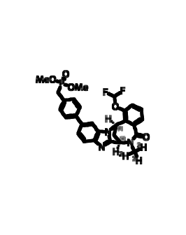 [2H]C([2H])([2H])N1C(=O)c2cccc(OC(F)F)c2[C@H]2C[C@@H]1c1nc3ccc(-c4ccc(CP(=O)(OC)OC)cc4)cc3n12